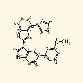 COc1cncc(-c2cc3c(-c4cc5c(-c6ccsc6)ccnc5[nH]4)n[nH]c3cn2)c1